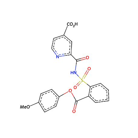 COc1ccc(OC(=O)c2ccccc2S(=O)(=O)NC(=O)c2cc(C(=O)O)ccn2)cc1